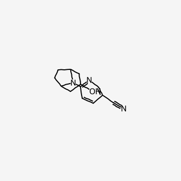 N#Cc1ccc(N2C3CCC2CC(O)C3)nc1